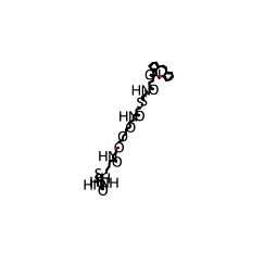 O=C(CCCC[C@@H]1SC[C@@H]2NC(=O)N[C@@H]21)NCCOCCOCCOCCNC(=O)CCSSCCNC(=O)CCC(=O)N1Cc2ccccc2/C=C\c2ccccc21